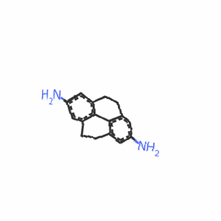 Nc1cc2c3c(c1)CCc1cc(N)cc(c1-3)CC2